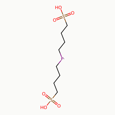 O=S(=O)(O)CCCC[P]CCCCS(=O)(=O)O